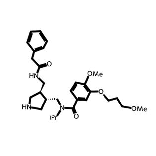 COCCCOc1cc(C(=O)N(C[C@@H]2CNC[C@H]2CNC(=O)Cc2ccccc2)C(C)C)ccc1OC